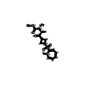 COC(=O)[C@H](C(C)C)N(C)C(=O)C1CN(S(=O)(=O)C2=CC=CC=CN2C)C1